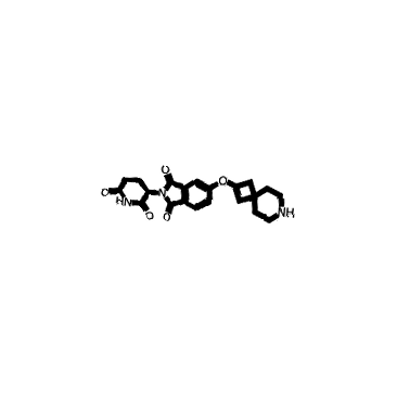 O=C1CCC(N2C(=O)c3ccc(OC4CC5(CCNCC5)C4)cc3C2=O)C(=O)N1